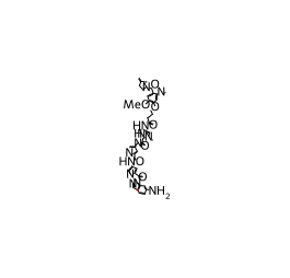 C=Nc1cc(OCCCC(=O)Nc2cn(C)c(C(=O)Nc3cc(C(=O)Nc4cc(C(=O)n5ncc6ccc(N)cc65)n(C)c4)n(C)c3)n2)c(OC)cc1C(=O)N1CCC(=C)C1